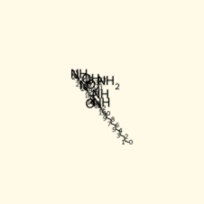 CCCCCCCCCCCCCCNC(=O)C(CCCN(CCCN)C(=O)O)NCCCN